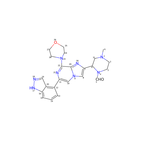 CN1CCN(C=O)C(c2cn3cc(-c4cccc5[nH]ncc45)nc(N4CCOCC4)c3n2)C1